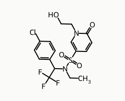 CCN(C(c1ccc(Cl)cc1)C(F)(F)F)S(=O)(=O)c1ccc(=O)n(CCO)c1